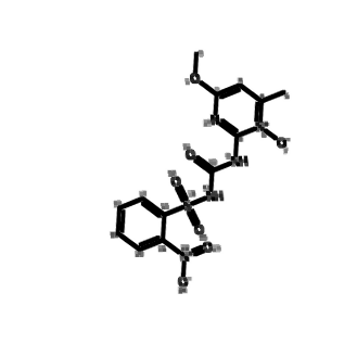 COc1cc(C)[n+]([O-])c(NC(=O)NS(=O)(=O)c2ccccc2[N+](=O)[O-])n1